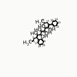 C=CCC(=C(O)[C@@H](O)[C@@H](O)[C@H](O)[C@@H](O)C(O)=C(CC=C)c1ccccc1)c1ccccc1